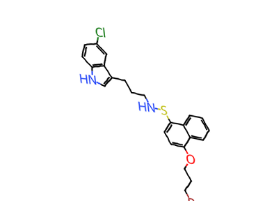 Clc1ccc2[nH]cc(CCCNSc3ccc(OCCCBr)c4ccccc34)c2c1